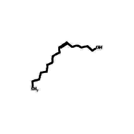 CCCCCCCCC/C=C\CCCCCO